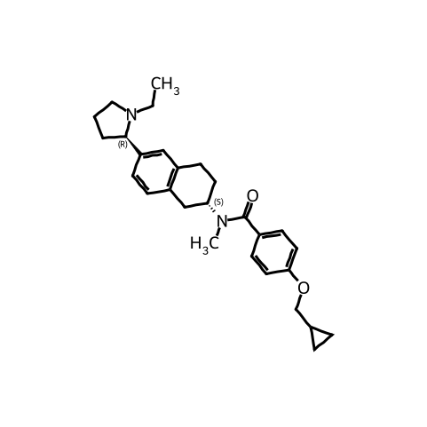 CCN1CCC[C@@H]1c1ccc2c(c1)CC[C@H](N(C)C(=O)c1ccc(OCC3CC3)cc1)C2